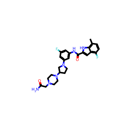 Cc1ccc(F)c2cc(C(=O)Nc3cc(F)cc(N4CCC(N5CCN(CC(N)=O)CC5)C4)c3)[nH]c12